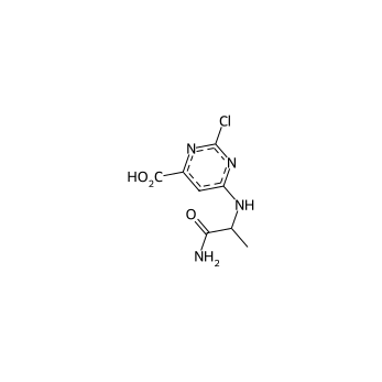 CC(Nc1cc(C(=O)O)nc(Cl)n1)C(N)=O